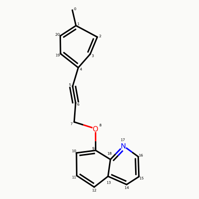 Cc1ccc(C#CCOc2cccc3cccnc23)cc1